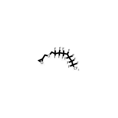 FC(C(F)(F)C(F)(F)C(F)(F)COCC1CO1)C(F)(F)C(F)(F)C(F)(F)C(F)(F)F